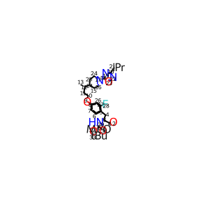 COC(=O)C(Cc1ccc(OCC[C@@H](C)C2CCN(c3nc(C(C)C)no3)CC2)cc1F)NC(=O)OC(C)(C)C